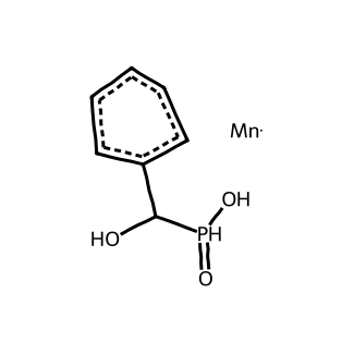 O=[PH](O)C(O)c1ccccc1.[Mn]